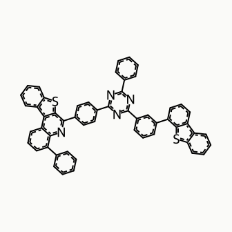 c1ccc(-c2nc(-c3ccc(-c4nc5c(-c6ccccc6)cccc5c5c4sc4ccccc45)cc3)nc(-c3cccc(-c4cccc5c4sc4ccccc45)c3)n2)cc1